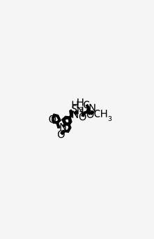 Cc1nc(C)c(C(=O)Nc2nc(-c3ccc4c(c3)CCC(=O)N4CC3CCCOC3)cs2)o1